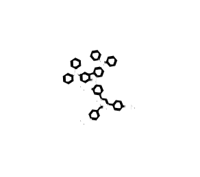 N#Cc1ccc(-c2cc(-c3ccc(-n4c5ccc(N(c6ccccc6)c6ccccc6)cc5c5cc(N(c6ccccc6)c6ccccc6)ccc54)c(C#N)c3)nc(-c3ccc(C#N)cc3)n2)cc1